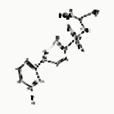 CC(C)C(NS(=O)(=O)c1ccc(-c2cccc(F)c2)cc1)C(=O)O